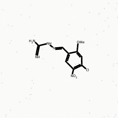 COc1cc(Cl)c([N+](=O)[O-])cc1/C=N/NC(=N)N